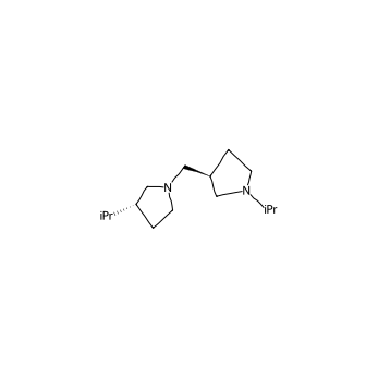 CC(C)[C@H]1CCN(C[C@H]2CCN(C(C)C)C2)C1